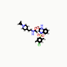 Cc1cc(S(=O)(=O)N2c3ccccc3NC(=O)[C@H]2CC(=O)NCCC2CCN(C3CC3)CC2)c(C)cc1Cl